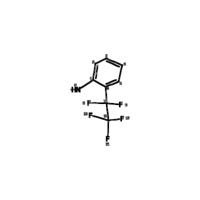 [NH]c1ccccc1C(F)(F)C(F)(F)F